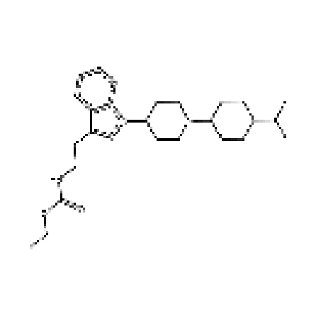 CCOC(=O)NCCc1cn(C2CCN(C3CCC(C(C)C)CC3)CC2)c2ccccc12